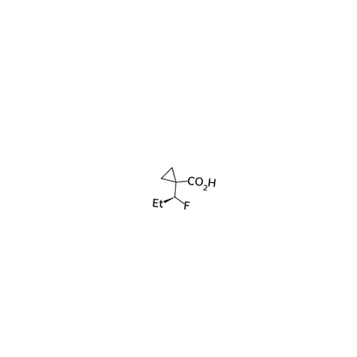 CC[C@H](F)C1(C(=O)O)CC1